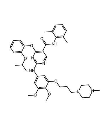 COc1cc(Nc2ncc(C(=O)Nc3c(C)cccc3C)c(Oc3ccccc3OC(C)C)n2)cc(OCCCN2CCN(C)CC2)c1OC